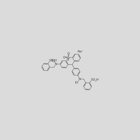 CCN(Cc1ccccc1S(=O)(=O)O)c1ccc(C(c2ccc(N(CC)Cc3ccccc3S(=O)(=O)O)cc2)c2ccccc2S(=O)(=O)[O-])cc1.[Na+]